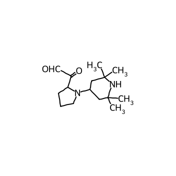 CC1(C)CC(N2CCCC2C(=O)C=O)CC(C)(C)N1